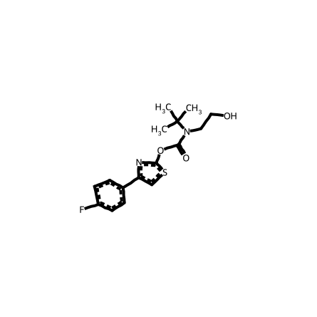 CC(C)(C)N(CCO)C(=O)Oc1nc(-c2ccc(F)cc2)cs1